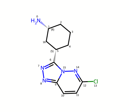 N[C@@H]1CCC[C@H](c2nnc3ccc(Cl)nn23)C1